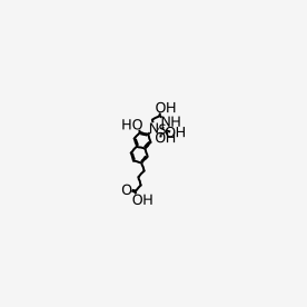 O=C(O)CCCc1ccc2cc(O)c(N3CC(O)NS3(O)O)cc2c1